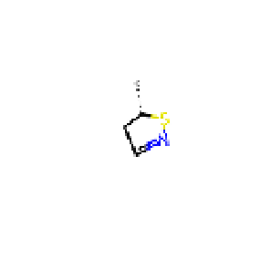 C[C@H]1CC=NS1